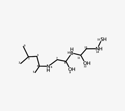 CC(C)CC(C)NCC(O)BC(O)CNS